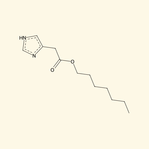 CCCCCCCOC(=O)Cc1c[nH]cn1